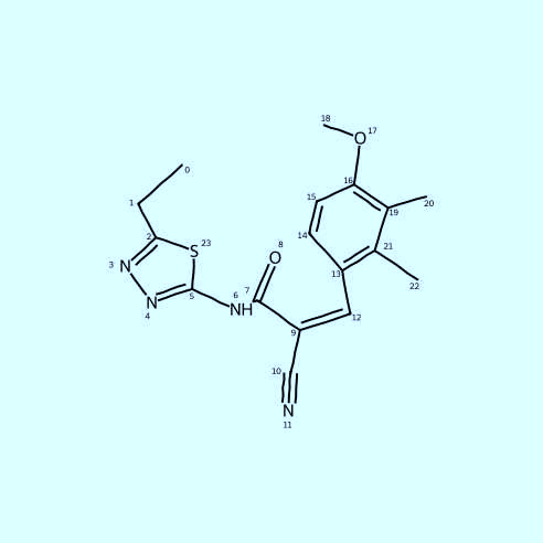 CCc1nnc(NC(=O)C(C#N)=Cc2ccc(OC)c(C)c2C)s1